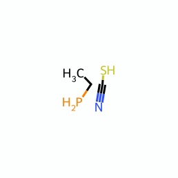 CCP.N#CS